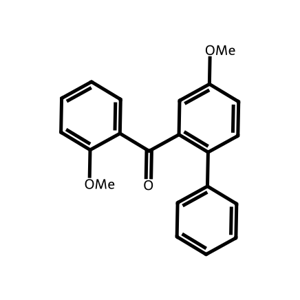 COc1ccc(-c2ccccc2)c(C(=O)c2ccccc2OC)c1